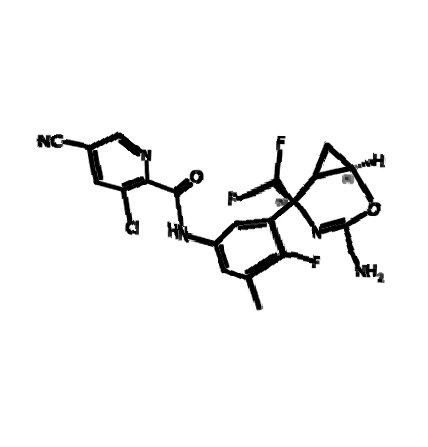 Cc1cc(NC(=O)c2ncc(C#N)cc2Cl)cc([C@@]2(C(F)F)N=C(N)O[C@@H]3CC32)c1F